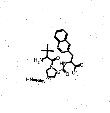 CC(C)(C)C(N)C(=O)N1C[C@@H](N=[N+]=N)C[C@H]1C(=O)NC(Cc1ccc2ccccc2c1)C(=O)[O-]